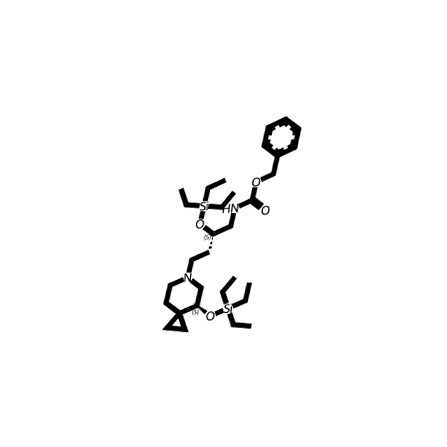 CC[Si](CC)(CC)O[C@@H](CCN1CCC2(CC2)[C@H](O[Si](CC)(CC)CC)C1)CNC(=O)OCc1ccccc1